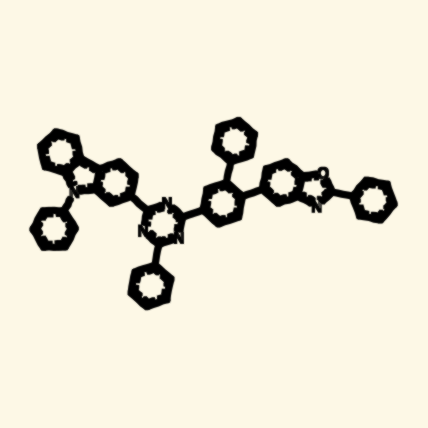 c1ccc(-c2nc(-c3ccc(-c4ccc5oc(-c6ccccc6)nc5c4)c(-c4ccccc4)c3)nc(-c3ccc4c5ccccc5n(-c5ccccc5)c4c3)n2)cc1